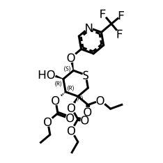 CCOC(=O)O[C@@H]1[C@@H](O)[C@@H](Oc2ccc(C(F)(F)F)nc2)SC[C@]1(OC(=O)OCC)C(=O)OCC